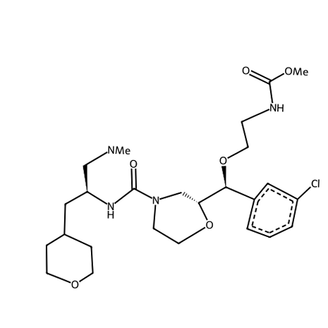 CNC[C@H](CC1CCOCC1)NC(=O)N1CCO[C@@H]([C@@H](OCCNC(=O)OC)c2cccc(Cl)c2)C1